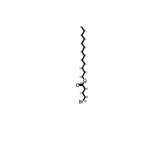 CCCCCCCCCCCCCOC(=O)CCCBr